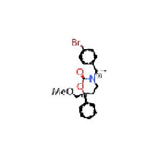 COC[C@]1(c2ccccc2)CCN([C@@H](C)c2ccc(Br)cc2)C(=O)O1